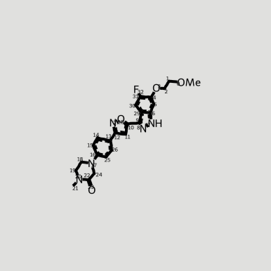 COCCOc1cc2[nH]nc(-c3cc(-c4ccc(N5CCN(C)C(=O)C5)cc4)no3)c2cc1F